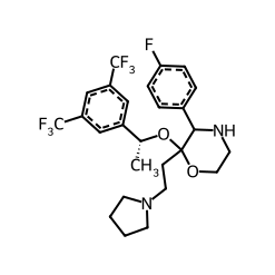 C[C@@H](OC1(CCN2CCCC2)OCCNC1c1ccc(F)cc1)c1cc(C(F)(F)F)cc(C(F)(F)F)c1